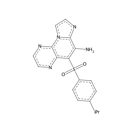 CC(C)c1ccc(S(=O)(=O)c2c(N)c3nccn3c3nccnc23)cc1